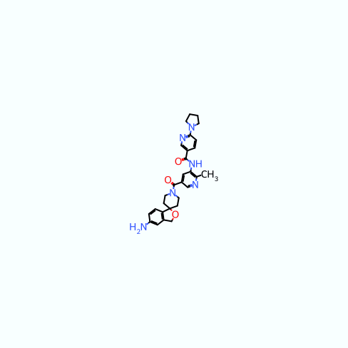 Cc1ncc(C(=O)N2CCC3(CC2)OCc2cc(N)ccc23)cc1NC(=O)c1ccc(N2CCCC2)nc1